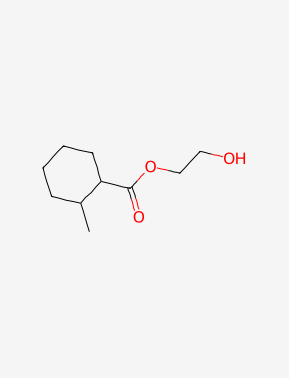 CC1CCCCC1C(=O)OCCO